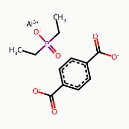 CCP(=O)([O-])CC.O=C([O-])c1ccc(C(=O)[O-])cc1.[Al+3]